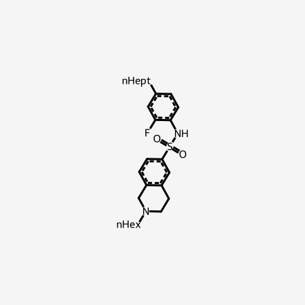 CCCCCCCc1ccc(NS(=O)(=O)c2ccc3c(c2)CCN(CCCCCC)C3)c(F)c1